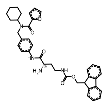 N[C@@H](CCNC(=O)OCC1c2ccccc2-c2ccccc21)C(=O)Nc1ccc(CN(C(=O)c2ccco2)C2CCCCC2)cc1